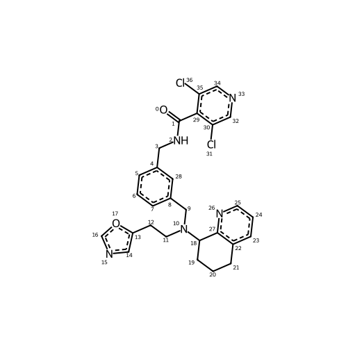 O=C(NCc1cccc(CN(CCc2cnco2)C2CCCc3cccnc32)c1)c1c(Cl)cncc1Cl